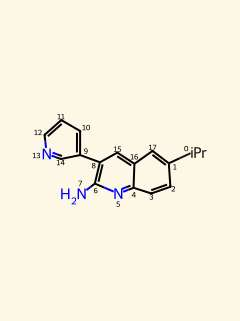 CC(C)c1ccc2nc(N)c(-c3cccnc3)cc2c1